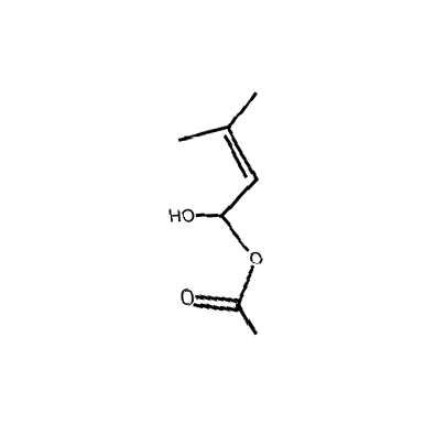 CC(=O)OC(O)C=C(C)C